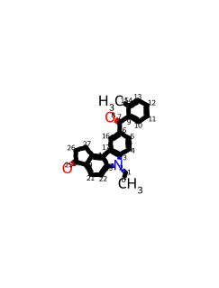 CCn1c2ccc(C(=O)c3ccccc3C)cc2c2c3c(ccc21)C(=O)CC3